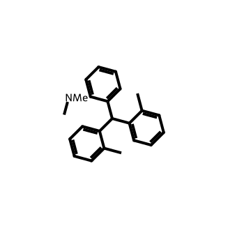 CNC.Cc1ccccc1C(c1ccccc1)c1ccccc1C